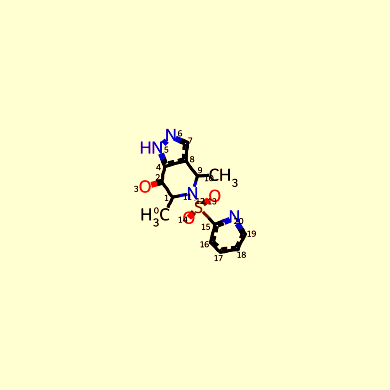 CC1C(=O)c2[nH]ncc2C(C)N1S(=O)(=O)c1ccccn1